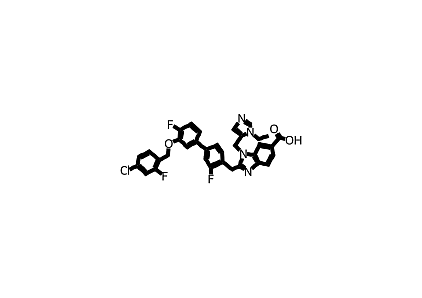 CCn1cncc1Cn1c(Cc2ccc(-c3ccc(F)c(OCc4ccc(Cl)cc4F)c3)cc2F)nc2ccc(C(=O)O)cc21